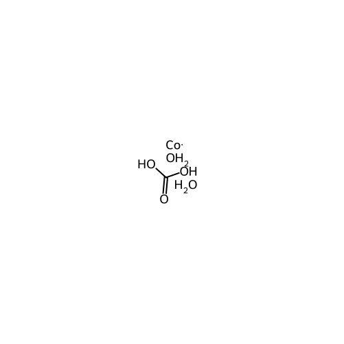 O.O.O=C(O)O.[Co]